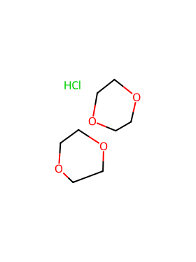 C1COCCO1.C1COCCO1.Cl